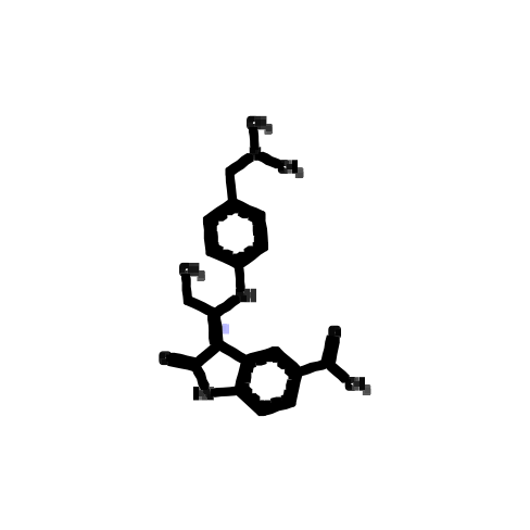 CC/C(Nc1ccc(CN(C)C)cc1)=C1\C(=O)Nc2ccc(C(C)=O)cc21